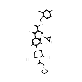 COc1c(N2CC(C)N(C(=O)CN3CCC3)C(C)C2)c(F)cc2c(=O)c(C(=O)NCc3ccc(Cl)cc3Cl)cn(C3CC3)c12